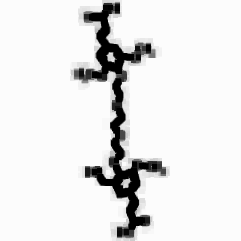 COc1cc(/C=C/C(=O)O)cc(CO)c1OCCOCCOCCOc1c(OC)cc(/C=C/C(=O)O)cc1OC